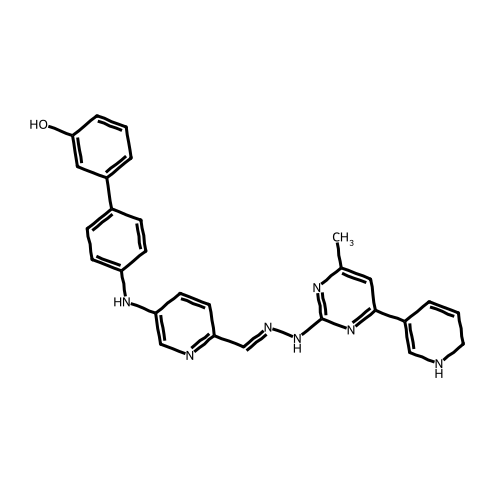 Cc1cc(C2=CNCC=C2)nc(N/N=C/c2ccc(Nc3ccc(-c4cccc(O)c4)cc3)cn2)n1